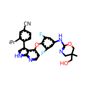 CC(C)c1cc(C#N)ccc1-c1c[nH]c2nccc(Oc3c(F)cc(NC4=NCC(C)(CO)CO4)cc3F)c12